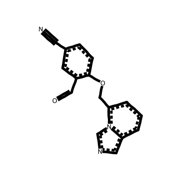 N#Cc1ccc(OCc2cccc3cncn23)c(C=O)c1